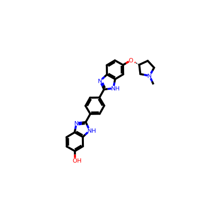 CN1CC[C@@H](Oc2ccc3nc(-c4ccc(-c5nc6ccc(O)cc6[nH]5)cc4)[nH]c3c2)C1